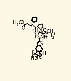 COC(=O)CCN(C(=O)[C@@H]1CCCN1C(=O)C(NC(=O)c1cc2cc(C(F)(F)P(=O)(O)O)ccc2s1)C(C)(C)C)c1ccccc1